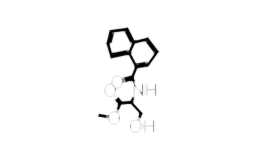 COC(=O)C(CO)NC(=O)c1cccc2ccccc12